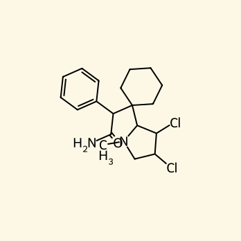 CN1CC(Cl)C(Cl)C1C1(C(C(N)=O)c2ccccc2)CCCCC1